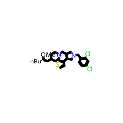 CCCC[C@@H](CC1CCN(CC2CN(Cc3ccc(Cl)cc3Cl)CC2c2ccsc2)CC1)OC